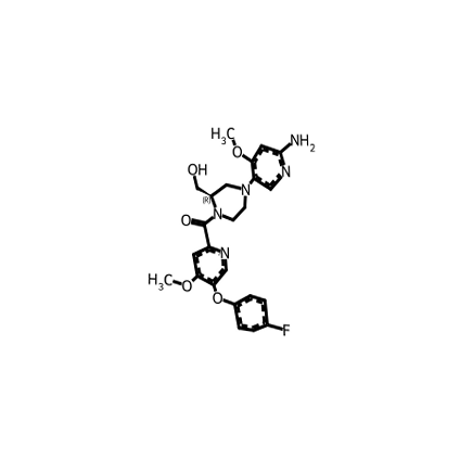 COc1cc(C(=O)N2CCN(c3cnc(N)cc3OC)C[C@@H]2CO)ncc1Oc1ccc(F)cc1